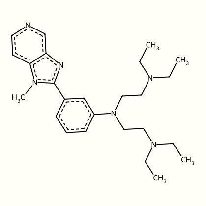 CCN(CC)CCN(CCN(CC)CC)c1cccc(-c2nc3cnccc3n2C)c1